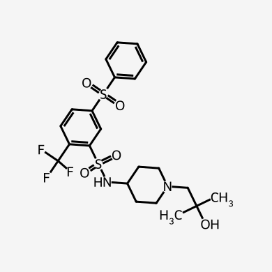 CC(C)(O)CN1CCC(NS(=O)(=O)c2cc(S(=O)(=O)c3ccccc3)ccc2C(F)(F)F)CC1